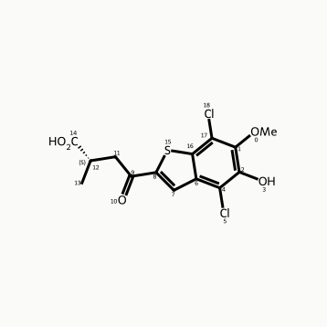 COc1c(O)c(Cl)c2cc(C(=O)C[C@H](C)C(=O)O)sc2c1Cl